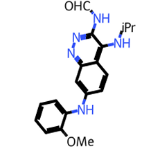 COc1ccccc1Nc1ccc2c(NC(C)C)c(NC=O)nnc2c1